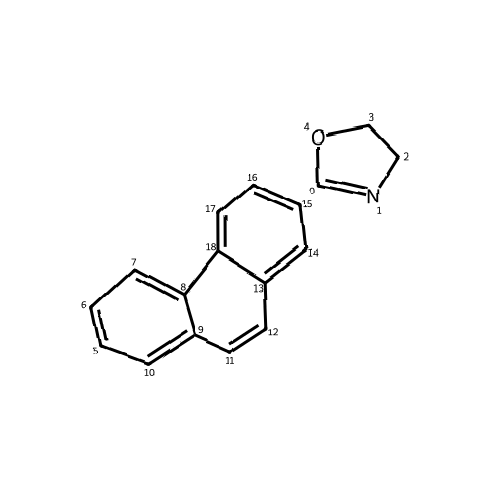 C1=NCCO1.c1ccc2c(c1)ccc1ccccc12